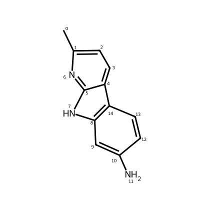 Cc1ccc2c(n1)[nH]c1cc(N)ccc12